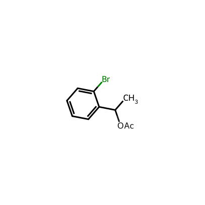 CC(=O)OC(C)c1ccccc1Br